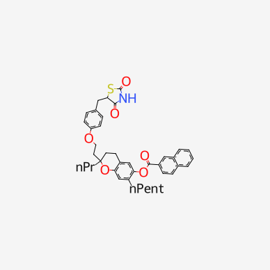 CCCCCc1cc2c(cc1OC(=O)c1ccc3ccccc3c1)CCC(CCC)(CCOc1ccc(CC3SC(=O)NC3=O)cc1)O2